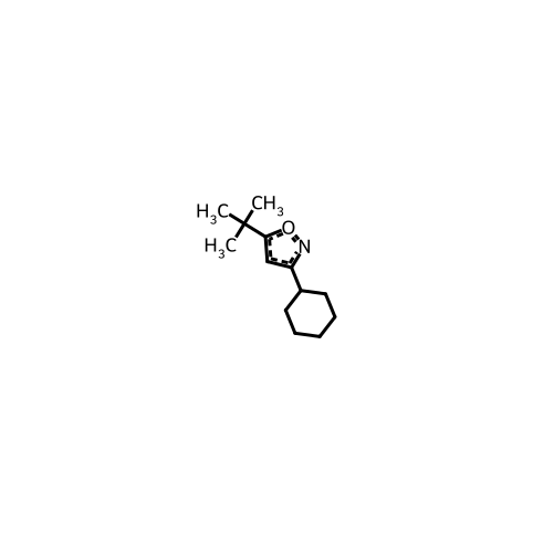 CC(C)(C)c1cc(C2CCCCC2)no1